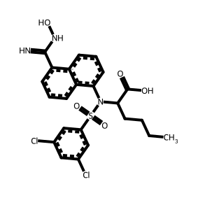 CCCCC(C(=O)O)N(c1cccc2c(C(=N)NO)cccc12)S(=O)(=O)c1cc(Cl)cc(Cl)c1